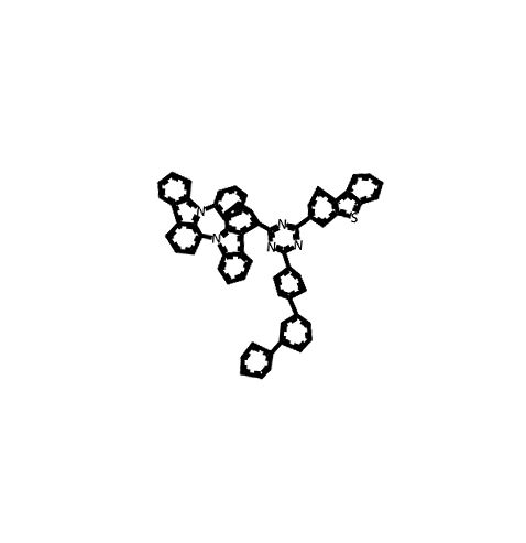 c1ccc(-c2cccc(-c3ccc(-c4nc(-c5ccc6c(c5)sc5ccccc56)nc(-c5cccc6c5c5ccccc5n6-c5cccc6c7ccccc7n(-c7ccccc7)c56)n4)cc3)c2)cc1